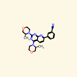 C[C@H]1COCCN1c1nc(N2CCOC[C@@H]2C)c2ccc(-c3cccc(C#N)c3)nc2n1